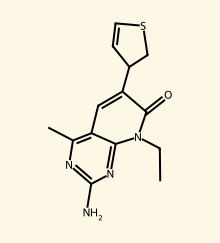 CCn1c(=O)c(C2C=CSC2)cc2c(C)nc(N)nc21